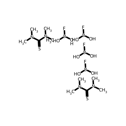 CN(C)C(=S)N(C)C.CN(C)C(=S)N(C)C.OB(O)F.OB(O)F.OB(O)F.OB(O)F